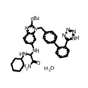 CCCCc1nc2ccc(NC(NC3CCCCC3)C(N)=O)cc2n1Cc1ccc(-c2ccccc2-c2nnn[nH]2)cc1.O